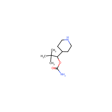 CC(C)(C)C(OC(N)=O)C1CCNCC1